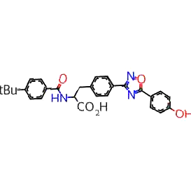 CC(C)(C)c1ccc(C(=O)NC(Cc2ccc(-c3noc(-c4ccc(O)cc4)n3)cc2)C(=O)O)cc1